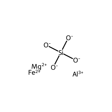 [Al+3].[Fe+2].[Mg+2].[O-][Si]([O-])([O-])[O-]